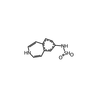 O=[SH](=O)Nc1ccc2c(c1)C=CNC=C2